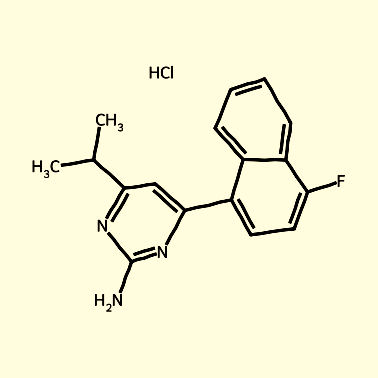 CC(C)c1cc(-c2ccc(F)c3ccccc23)nc(N)n1.Cl